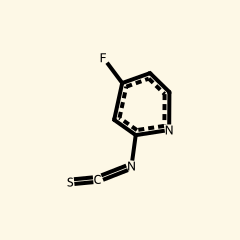 Fc1ccnc(N=C=S)c1